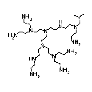 CC(C)CN(CCN)CCNCCN(CCN(CCN)CCN)CCN(CCNCCN)CCN(CCN)CCN